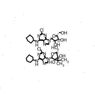 CC1(C)[C@]2(O)[C@@H](CO)O[C@@H](n3cnc4c(NC5CCCCC5)nc(Cl)nc43)[C@]12O.OC[C@H]1O[C@@H](n2cnc3c(NC4CCCCC4)nc(Cl)nc32)[C@H](O)[C@@H]1O